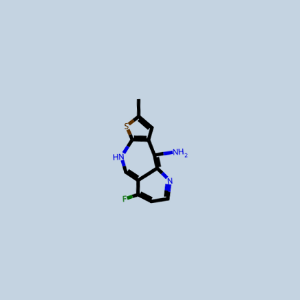 Cc1cc2c(s1)NC=c1c(F)ccnc1=C2N